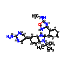 CNc1nc(-c2ccccc2-c2nc3cc(-c4cnc(N)nc4)ccc3n2C(C)(C)C)no1